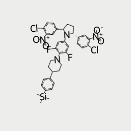 C[Si](C)(C)c1ccc(C2CCN(c3c(F)cc(N4[C@@H](c5ccc(Cl)c([N+](=O)[O-])c5)CC[C@@H]4c4ccc(Cl)c([N+](=O)[O-])c4)cc3F)CC2)cc1